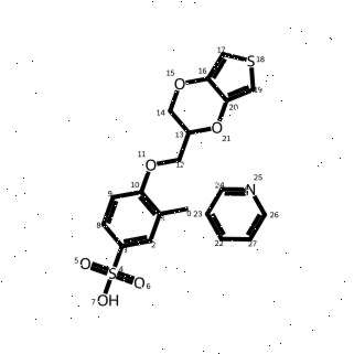 Cc1cc(S(=O)(=O)O)ccc1OCC1COc2cscc2O1.c1ccncc1